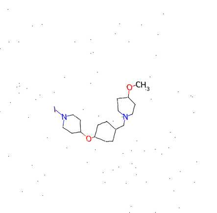 COC1CCN(CC2CCC(OC3CCN(I)CC3)CC2)CC1